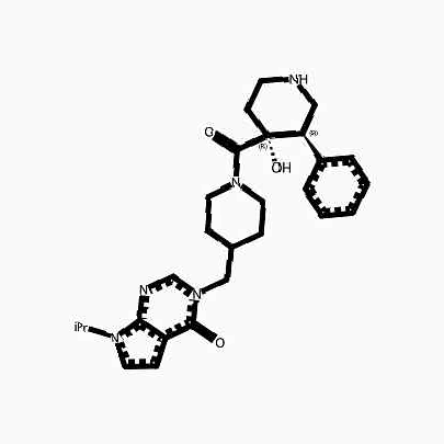 CC(C)n1ccc2c(=O)n(CC3CCN(C(=O)[C@@]4(O)CCNC[C@H]4c4ccccc4)CC3)cnc21